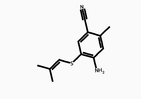 CC(C)=CSc1cc(C#N)c(C)cc1N